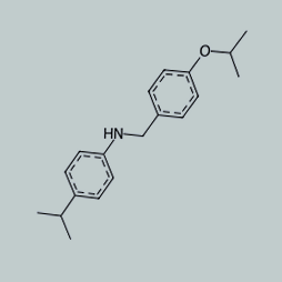 CC(C)Oc1ccc(CNc2ccc(C(C)C)cc2)cc1